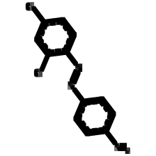 Nc1ccc(N=Nc2ccc(Cl)cc2Cl)cc1